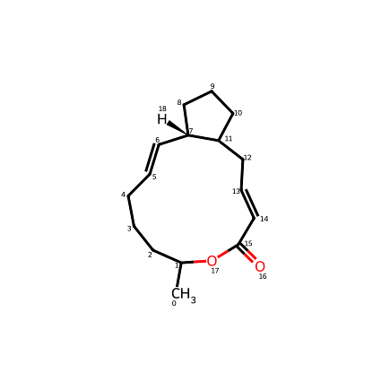 CC1CCC/C=C/[C@@H]2CCCC2C/C=C/C(=O)O1